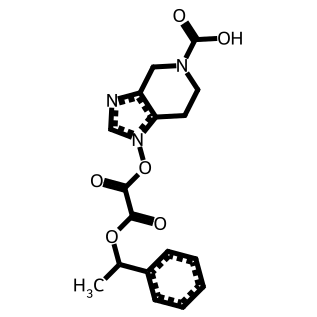 CC(OC(=O)C(=O)On1cnc2c1CCN(C(=O)O)C2)c1ccccc1